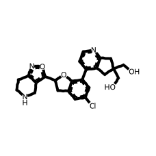 OCC1(CO)Cc2nccc(-c3cc(Cl)cc4c3OC(c3onc5c3CNCC5)C4)c2C1